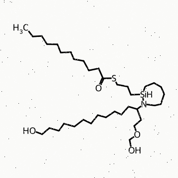 CCCCCCCCCCCC(=O)SCCC[SiH]1CCCCCCN1C(CCCCCCCCCCCCO)CCOCO